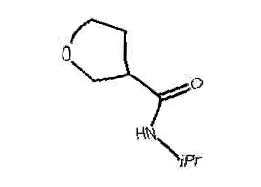 CC(C)NC(=O)C1CCOC1